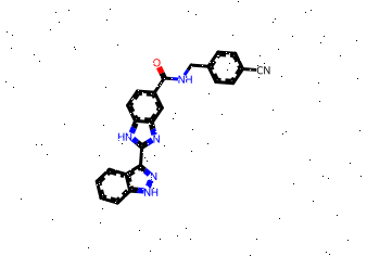 N#Cc1ccc(CNC(=O)c2ccc3[nH]c(-c4n[nH]c5ccccc45)nc3c2)cc1